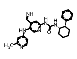 Cc1cc(Nc2cnc(NC(=O)N[C@H]3CCCC[C@@H]3c3ccccc3)cc2C=N)ccn1